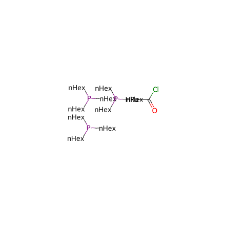 CCCCCCP(CCCCCC)CCCCCC.CCCCCCP(CCCCCC)CCCCCC.CCCCCCP(CCCCCC)CCCCCC.O=[C](Cl)[RuH]